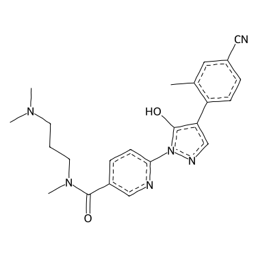 Cc1cc(C#N)ccc1-c1cnn(-c2ccc(C(=O)N(C)CCCN(C)C)cn2)c1O